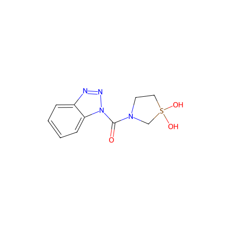 O=C(N1CCS(O)(O)C1)n1nnc2ccccc21